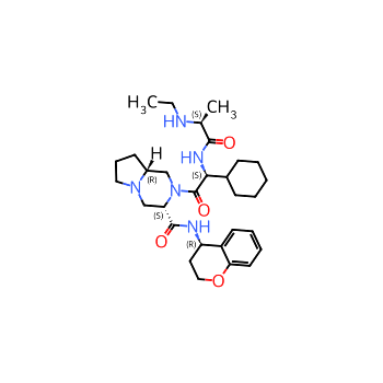 CCN[C@@H](C)C(=O)N[C@H](C(=O)N1C[C@H]2CCCN2C[C@H]1C(=O)N[C@@H]1CCOc2ccccc21)C1CCCCC1